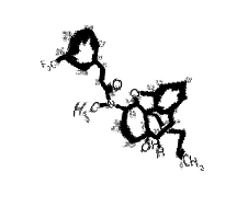 C=CCN1CC[C@]23c4c5cccc4OC2C(N(C)C(=O)/C=C/c2cccc(C(F)(F)F)c2)CC[C@@]3(O)[C@H]1C5